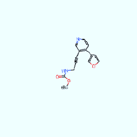 CC(C)(C)OC(=O)NCC#Cc1cnccc1-c1ccoc1